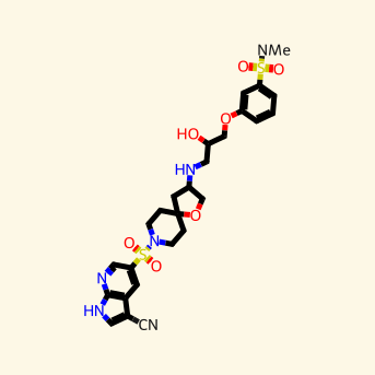 CNS(=O)(=O)c1cccc(OCC(O)CNC2COC3(CCN(S(=O)(=O)c4cnc5[nH]cc(C#N)c5c4)CC3)C2)c1